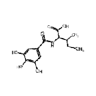 CCC(C)C(NC(=O)c1cc(O)c(O)c(O)c1)C(=O)O